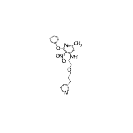 Cc1cc(NCCOCCCc2cccnc2)c([N+](=O)[O-])c(Oc2ccccc2)n1